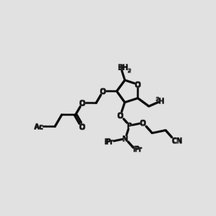 [2H]CC1OC(B)C(OCOC(=O)CCC(C)=O)C1OP(OCCC#N)N(C(C)C)C(C)C